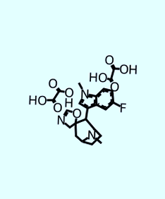 CN1C2CCC1C(c1cn(C)c3ccc(F)cc13)C1(CN=CO1)C2.O=C(O)C(=O)O.O=C(O)C(=O)O